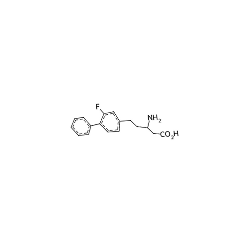 NC(CCc1ccc(-c2ccccc2)c(F)c1)CC(=O)O